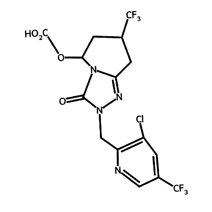 O=C(O)OC1CC(C(F)(F)F)Cc2nn(Cc3ncc(C(F)(F)F)cc3Cl)c(=O)n21